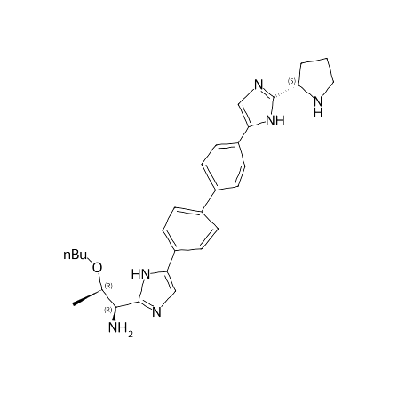 CCCCO[C@H](C)[C@H](N)c1ncc(-c2ccc(-c3ccc(-c4cnc([C@@H]5CCCN5)[nH]4)cc3)cc2)[nH]1